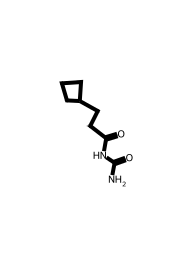 NC(=O)NC(=O)[CH]CC1CCC1